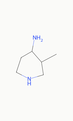 CC1CNCCC1N